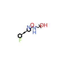 CC(C)(O)CCNC(=O)c1ccc(C#Cc2cccc(F)c2)cn1